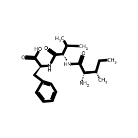 CC[C@H](C)[C@H](N)C(=O)N[C@H](C(=O)N[C@@H](Cc1ccccc1)C(=O)O)C(C)C